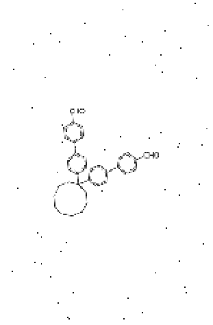 O=Cc1ccc(-c2ccc(C3(c4ccc(-c5ccc(C=O)cc5)cc4)CCCCCCCCC3)cc2)cc1